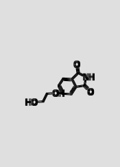 O=C1NC(=O)c2ccccc21.OCCO